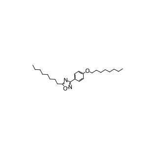 CCCCCCCCOc1ccc(-c2noc(CCCCCCCC)n2)cc1